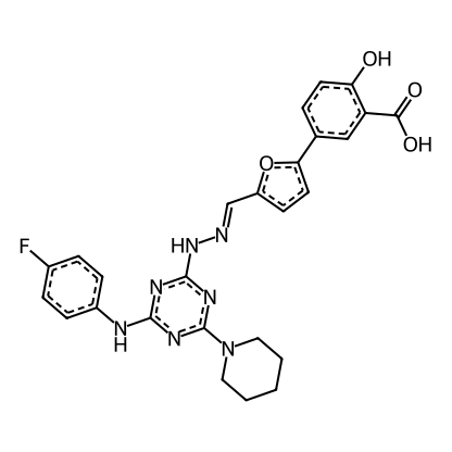 O=C(O)c1cc(-c2ccc(/C=N/Nc3nc(Nc4ccc(F)cc4)nc(N4CCCCC4)n3)o2)ccc1O